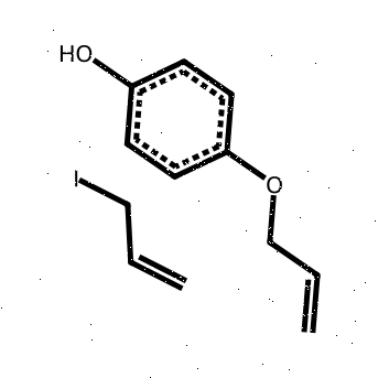 C=CCI.C=CCOc1ccc(O)cc1